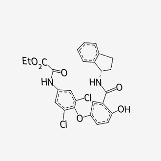 CCOC(=O)C(=O)Nc1cc(Cl)c(Oc2ccc(O)c(C(=O)N[C@H]3CCc4ccccc43)c2)c(Cl)c1